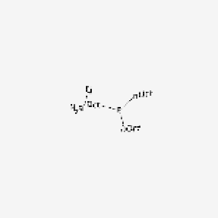 CCCCCCCCP(CCCCCCCC)CCCCCCCC.[SiH3]Cl